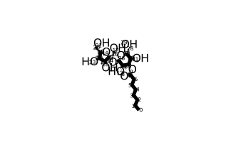 CCCCCCCC(=O)O[C@@H]1[C@@H](O)[C@@H](O[C@]2(CO)O[C@H](CO)[C@@H](O)[C@@H]2O)O[C@H](CO)[C@H]1O